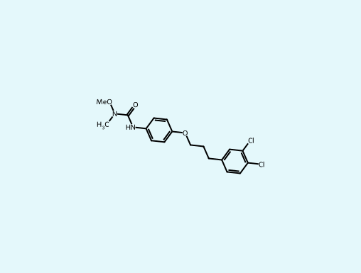 CON(C)C(=O)Nc1ccc(OCCCc2ccc(Cl)c(Cl)c2)cc1